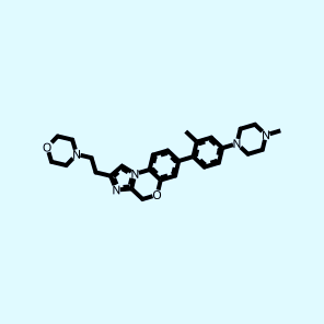 Cc1cc(N2CCN(C)CC2)ccc1-c1ccc2c(c1)OCc1nc(CCN3CCOCC3)cn1-2